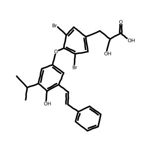 CC(C)c1cc(Oc2c(Br)cc(CC(O)C(=O)O)cc2Br)cc(C=Cc2ccccc2)c1O